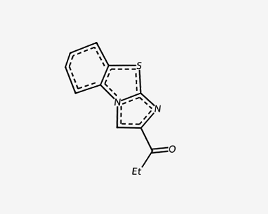 CCC(=O)c1cn2c(n1)sc1ccccc12